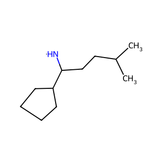 CC(C)CCC([NH])C1CCCC1